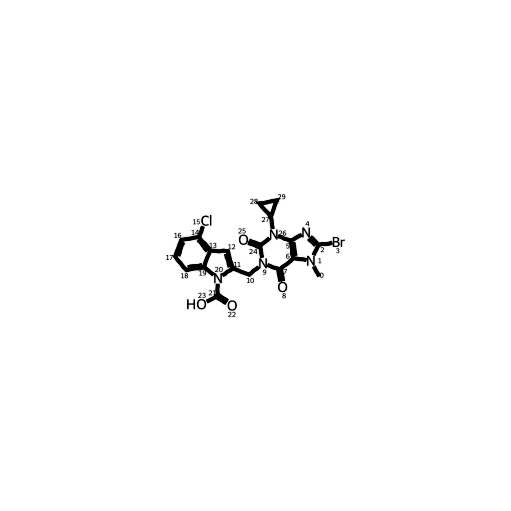 Cn1c(Br)nc2c1c(=O)n(Cc1cc3c(Cl)cccc3n1C(=O)O)c(=O)n2C1CC1